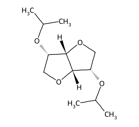 CC(C)O[C@H]1CO[C@@H]2[C@H]1OC[C@@H]2OC(C)C